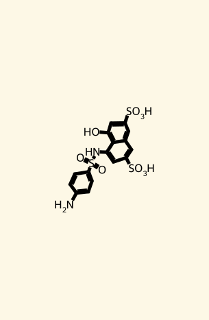 Nc1ccc(S(=O)(=O)Nc2cc(S(=O)(=O)O)cc3cc(S(=O)(=O)O)cc(O)c23)cc1